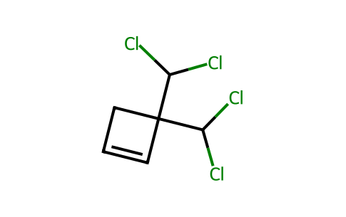 ClC(Cl)C1(C(Cl)Cl)C=CC1